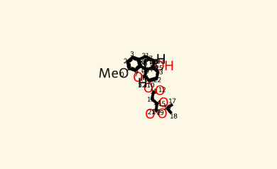 COc1ccc2c3c1O[C@H]1C(OC(=O)CC4OC(C)(C)OC4=O)=CC[C@@]4(O)[C@H](CCC[C@]314)C2